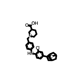 O=C(O)C1CCCN(Cc2ccc(Nc3ccc(C45CC6CC(CC4C6)C5)cc3Cl)cc2)C1